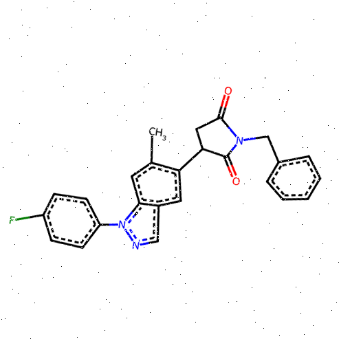 Cc1cc2c(cnn2-c2ccc(F)cc2)cc1C1CC(=O)N(Cc2ccccc2)C1=O